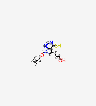 C[Si](C)(C)CCOCn1cc(CCCO)c2c(S)ncnc21